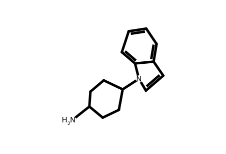 NC1CCC(n2ccc3ccccc32)CC1